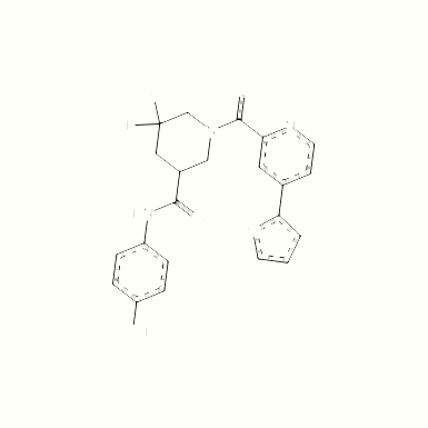 Cc1ccc(NC(=O)C2CN(C(=O)c3cc(-c4ccco4)ccn3)CC(F)(F)C2)cc1